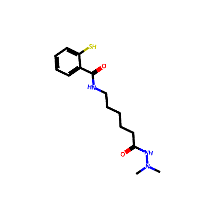 CN(C)NC(=O)CCCCCNC(=O)c1ccccc1S